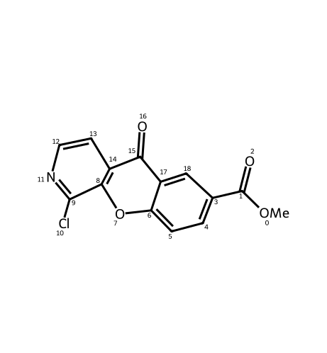 COC(=O)c1ccc2oc3c(Cl)nccc3c(=O)c2c1